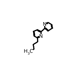 CCCCc1cccc(-c2ccccn2)n1